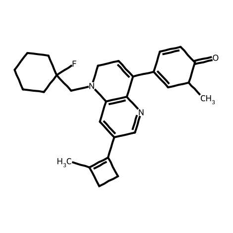 CC1=C(c2cnc3c(c2)N(CC2(F)CCCCC2)CC=C3C2=CC(C)C(=O)C=C2)CC1